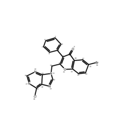 O=c1c(-c2ccccc2)c(Cn2cnc3c(Cl)ncnc32)oc2ccc(Br)cc12